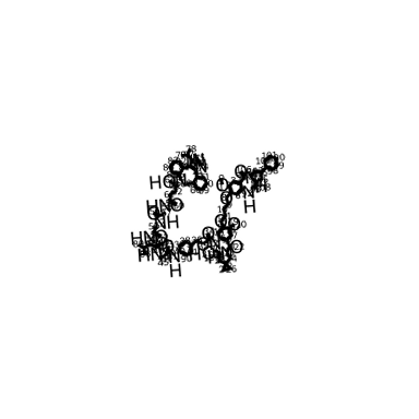 COc1cc2c(cc1OCCCOc1cc3c(cc1OC)C(=O)N1CC4(CC4)C[C@H]1C(O)N3C(=O)OCc1ccc(NC(=O)[C@H](C)NC(=O)[C@@H](NC(=O)CNC(=O)CNC(=O)CCC(O)N3Cc4ccccc4-c4nnn(C(C)C)c4-c4ccccc43)C(C)C)cc1)NC[C@@H]1CC(c3ccccc3)=CN1C2=O